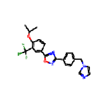 CC(C)Oc1ccc(-c2nc(-c3ccc(Cn4ccnc4)cc3)no2)cc1C(F)(F)F